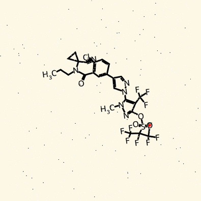 CCCN(C(=O)c1cc(-c2cnn(-c3c(C(F)(F)F)c(OS(=O)(=O)C(F)(C(F)(F)F)C(F)(F)F)nn3C)c2)ccc1Cl)C1(C#N)CC1